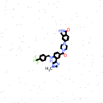 Cn1cnc(-c2cc(C(=O)N3CCN(c4ccc5c(c4)CNC5=O)CC3)ccc2NCc2ccc(C(F)(F)F)cc2)c1